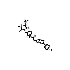 COC(=O)[C@H](Cc1cccc(NC(=O)Cc2cn3nc(-c4ccc(Cl)cc4)ccc3n2)c1)NC(=O)OC(C)(C)C